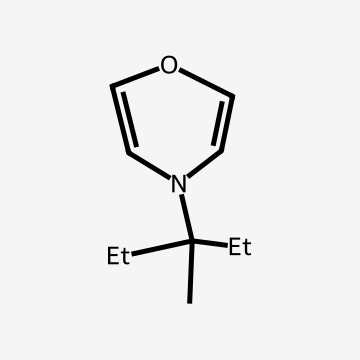 CCC(C)(CC)N1C=COC=C1